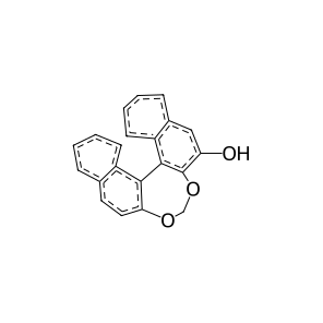 Oc1cc2ccccc2c2c1OCOc1ccc3ccccc3c1-2